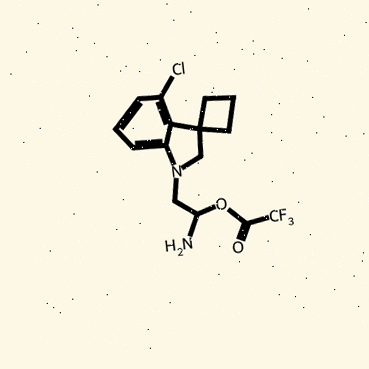 NC(CN1CC2(CCC2)c2c(Cl)cccc21)OC(=O)C(F)(F)F